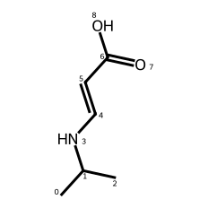 CC(C)NC=CC(=O)O